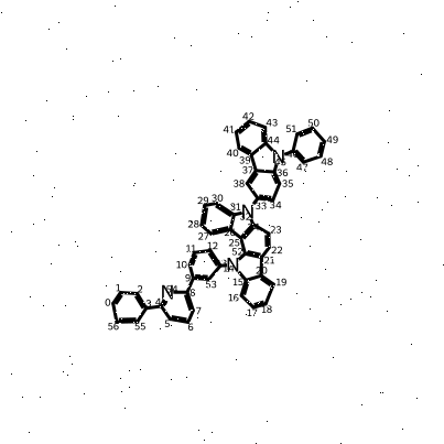 c1ccc(-c2cccc(-c3cccc(-n4c5ccccc5c5ccc6c(c7ccccc7n6-c6ccc7c(c6)c6ccccc6n7-c6ccccc6)c54)c3)n2)cc1